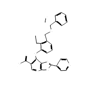 CCc1c(CN[C@H](CO)c2ccccc2)cccc1Nc1c(C(N)=O)cnc2[nH]c(-c3ccncc3)nc12